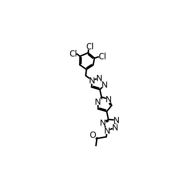 CC(=O)Cn1nnc(-c2cnc(-c3cn(Cc4cc(Cl)c(Cl)c(Cl)c4)nn3)nc2)n1